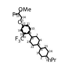 CCCC1CCC(C2CCC(c3ccc(OCC(F)OC)cc3C(F)(F)F)CC2)CC1